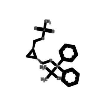 CC(C)(C)[Si](OC[C@@H]1C[C@H]1COS(C)(=O)=O)(c1ccccc1)c1ccccc1